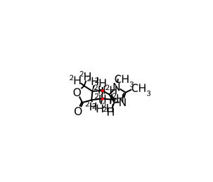 [2H]c1nc(C)n(C)c1C([2H])([2H])[C@@]1([2H])C([2H])([2H])OC(=O)[C@@]1([2H])C([2H])([2H])C([2H])([2H])[2H]